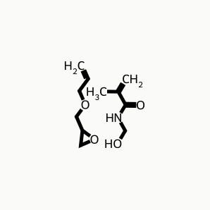 C=C(C)C(=O)NCO.C=CCOCC1CO1